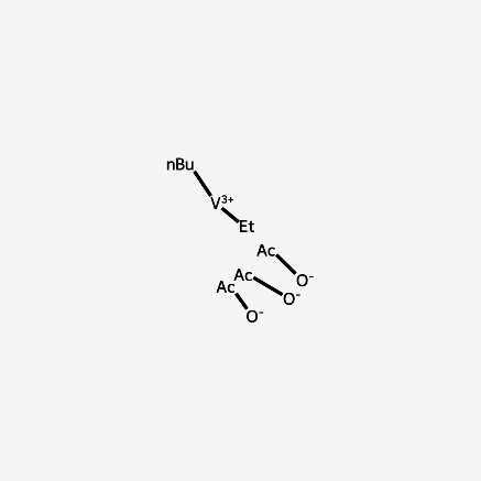 CC(=O)[O-].CC(=O)[O-].CC(=O)[O-].CCC[CH2][V+3][CH2]C